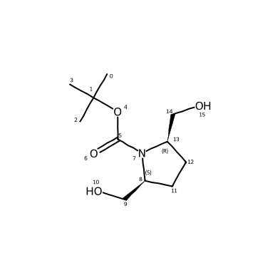 CC(C)(C)OC(=O)N1[C@H](CO)CC[C@@H]1CO